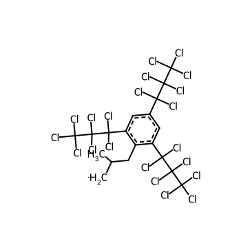 [CH2]C(C)Cc1c(C(Cl)(Cl)C(Cl)(Cl)C(Cl)(Cl)Cl)cc(C(Cl)(Cl)C(Cl)(Cl)C(Cl)(Cl)Cl)cc1C(Cl)(Cl)C(Cl)(Cl)C(Cl)(Cl)Cl